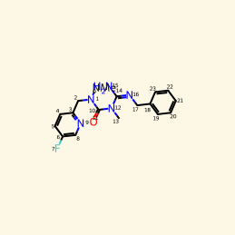 CNN(Cc1ccc(F)cn1)C(=O)N(C)/C(N)=N\Cc1ccccc1